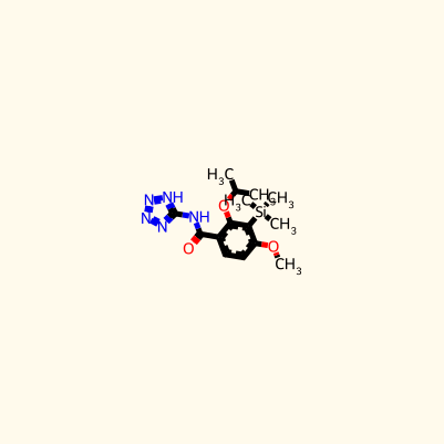 COc1ccc(C(=O)Nc2nnn[nH]2)c(OC(C)C)c1[Si](C)(C)C